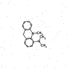 CN(C)c1cccc2c1N(C)c1ccccc1C2